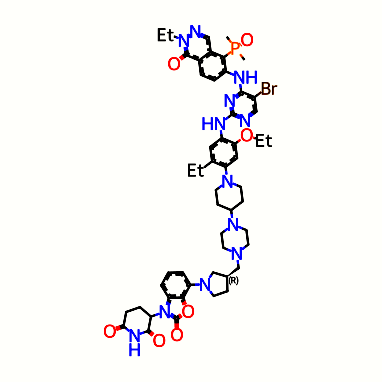 CCOc1cc(N2CCC(N3CCN(C[C@H]4CCN(c5cccc6c5oc(=O)n6C5CCC(=O)NC5=O)C4)CC3)CC2)c(CC)cc1Nc1ncc(Br)c(Nc2ccc3c(=O)n(CC)ncc3c2P(C)(C)=O)n1